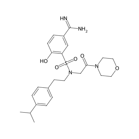 CC(C)c1ccc(CCN(CC(=O)N2CCOCC2)S(=O)(=O)c2cc(C(=N)N)ccc2O)cc1